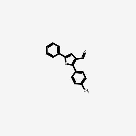 Cc1ccc(-c2oc(-c3ccccc3)cc2C=O)cc1